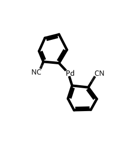 N#Cc1cccc[c]1[Pd][c]1ccccc1C#N